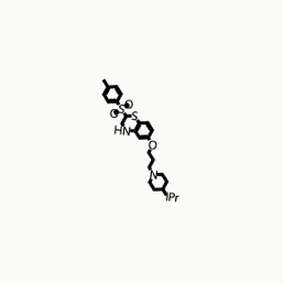 Cc1ccc(S(=O)(=O)C2CNc3cc(OCCCN4CCC(C(C)C)CC4)ccc3S2)cc1